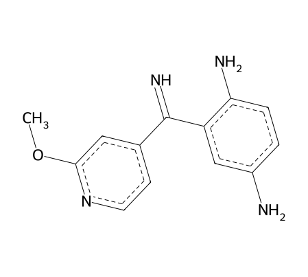 COc1cc(C(=N)c2cc(N)ccc2N)ccn1